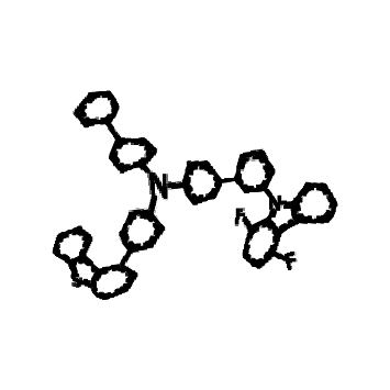 Fc1ccc(F)c2c1c1ccccc1n2-c1cccc(-c2ccc(N(c3ccc(-c4ccccc4)cc3)c3ccc(-c4cccc5sc6ccccc6c45)cc3)cc2)c1